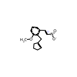 COc1cccc(/C=C/[N+](=O)[O-])c1CC1=CCCC1